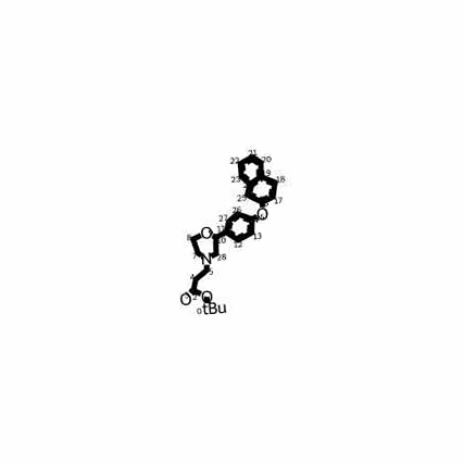 CC(C)(C)OC(=O)CCN1CCOC(c2ccc(Oc3ccc4ccccc4c3)cc2)C1